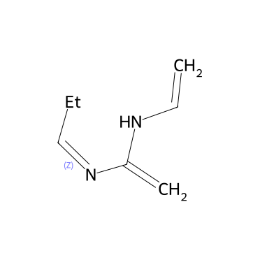 C=CNC(=C)/N=C\CC